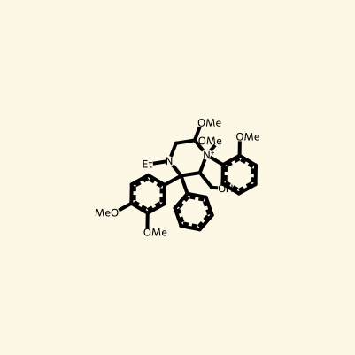 CCN1CC(OC)[N+](OC)(c2ccccc2OC)C(CO)C1(c1ccccc1)c1ccc(OC)c(OC)c1